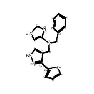 C1=C(N(Cc2ccccc2)Cc2c[nH]nc2-c2cccs2)OCO1